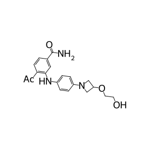 CC(=O)c1ccc(C(N)=O)cc1Nc1ccc(N2CC(OCCO)C2)cc1